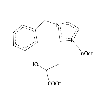 CC(O)C(=O)[O-].CCCCCCCCn1cc[n+](Cc2ccccc2)c1